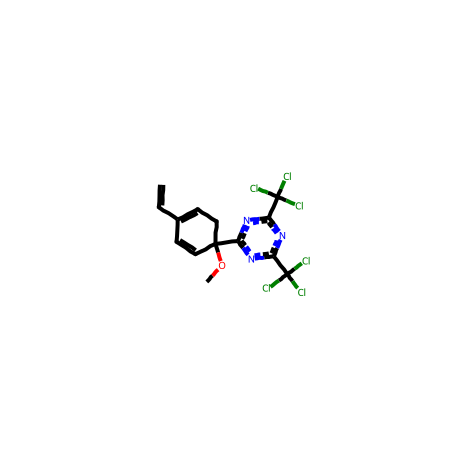 C=CC1=CCC(OC)(c2nc(C(Cl)(Cl)Cl)nc(C(Cl)(Cl)Cl)n2)C=C1